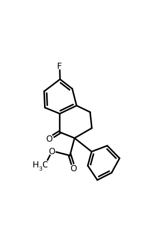 COC(=O)C1(c2ccccc2)CCc2cc(F)ccc2C1=O